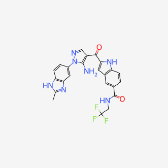 Cc1nc2cc(-n3ncc(C(=O)c4cc5cc(C(=O)NCC(F)(F)F)ccc5[nH]4)c3N)ccc2[nH]1